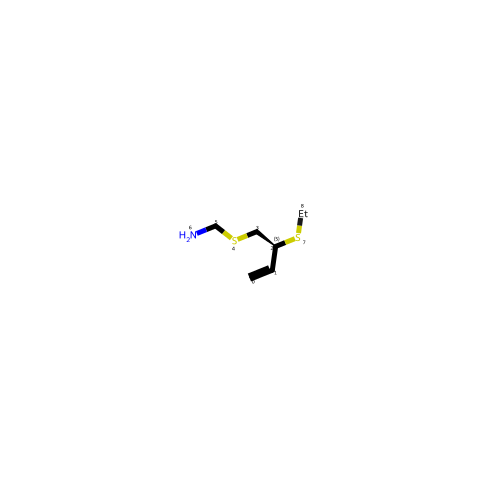 C=C[C@@H](CSCN)SCC